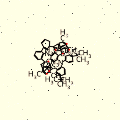 CC1=CC(C)=C([SH]2c3cc(C(C)(C)C)ccc3N3c4ccc(C(C)(C)C)cc4B(c4c(C)cc(C)cc4C)c4cc(-n5c6c(c7cccc(C89CC%10CC%11CC(C8)C%11%10C9)c75)C=CCC6C56CC7CCCC(C5)C7C6)cc2c43)C(C)C1